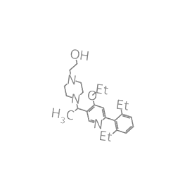 CCOc1cc(-c2c(CC)cccc2CC)ncc1C(C)N1CCN(CCO)CC1